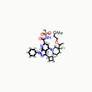 COCCOC(C)C1(F)CCCN(c2cc(C(=O)NS(C)(=O)=O)nc3c2c(C2CCC2)nn3-c2ccccc2)C1